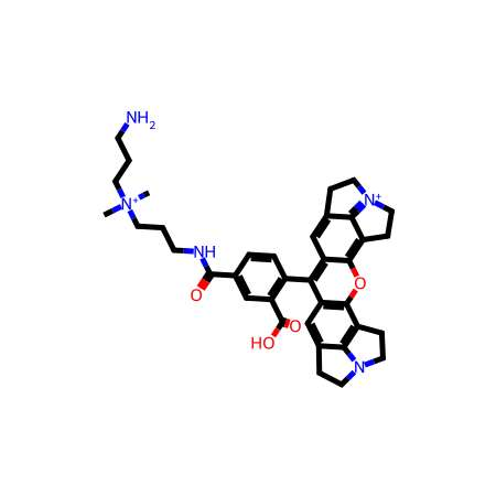 C[N+](C)(CCCN)CCCNC(=O)c1ccc(C2=c3cc4c5c(c3Oc3c2cc2c6c3CCN6CC2)CC[N+]=5CC4)c(C(=O)O)c1